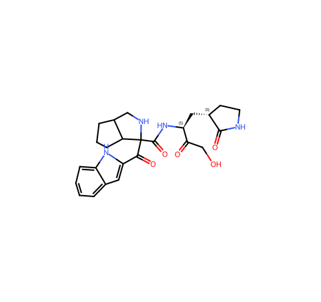 O=C1NCC[C@H]1C[C@H](NC(=O)C1(C(=O)c2cc3ccccc3[nH]2)NCC2CCCC21)C(=O)CO